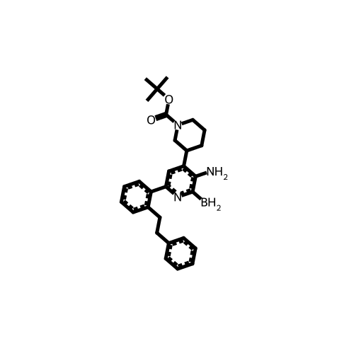 Bc1nc(-c2ccccc2CCc2ccccc2)cc(C2CCCN(C(=O)OC(C)(C)C)C2)c1N